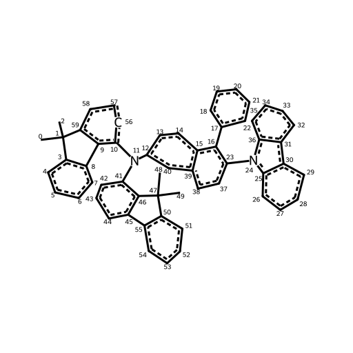 CC1(C)c2ccccc2-c2c(N(c3ccc4c(-c5ccccc5)c(-n5c6ccccc6c6ccccc65)ccc4c3)c3cccc4c3C(C)(C)c3ccccc3-4)cccc21